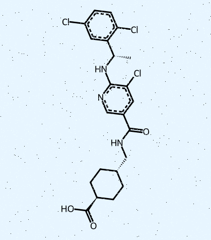 C[C@H](Nc1ncc(C(=O)NC[C@H]2CC[C@H](C(=O)O)CC2)cc1Cl)c1cc(Cl)ccc1Cl